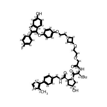 Cc1ncsc1-c1ccc(CNC(=O)[C@@H]2C[C@@H](O)CN2C(=O)[C@@H](NC(=O)COCCOC2CN(CCOc3ccc(Oc4c(-c5ccc(F)cc5)sc5cc(O)ccc45)cc3)C2)C(C)(C)C)cc1